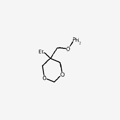 CCC1(COP)COCOC1